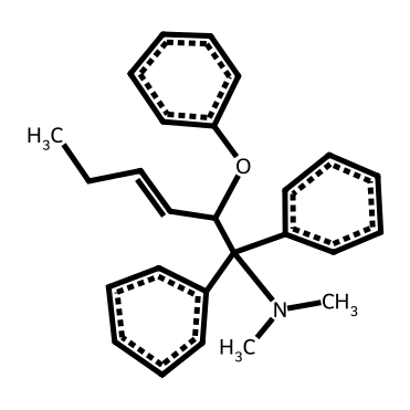 CC/C=C/C(Oc1ccccc1)C(c1ccccc1)(c1ccccc1)N(C)C